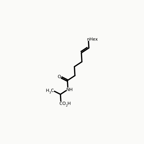 CCCCCCC=CCCCC(=O)NC(C)C(=O)O